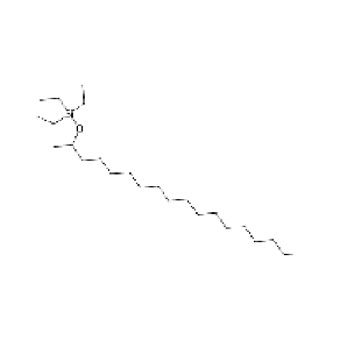 CCCCCCCCCCCCCCCCC(C)O[Si](CC)(CC)CC